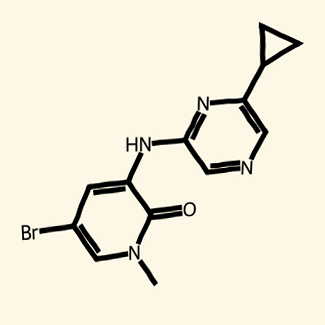 Cn1cc(Br)cc(Nc2cncc(C3CC3)n2)c1=O